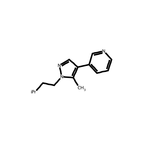 Cc1c(-c2cccnc2)cnn1CCC(C)C